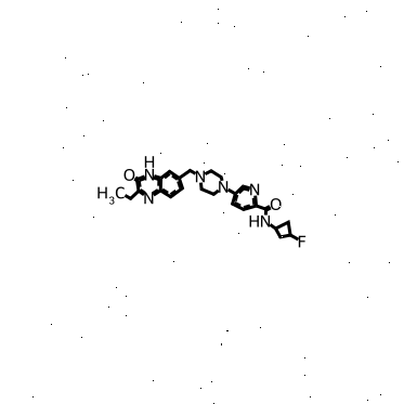 CCc1nc2ccc(CN3CCN(c4ccc(C(=O)NC5CC(F)C5)nc4)CC3)cc2[nH]c1=O